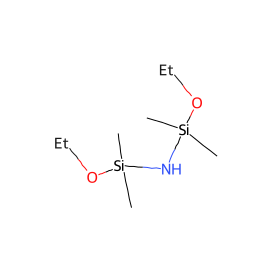 CCO[Si](C)(C)N[Si](C)(C)OCC